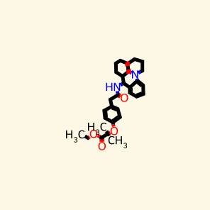 CCOC(=O)C(C)(C)Oc1ccc(CC(=O)NC(c2ccccc2N2CCCCC2)C2CCCCC2)cc1